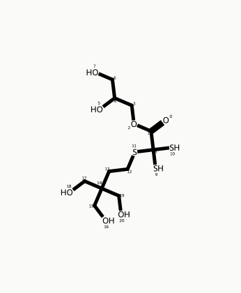 O=C(OCC(O)CO)C(S)(S)SCCC(CO)(CO)CO